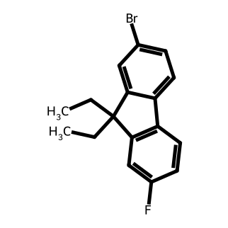 CCC1(CC)c2cc(F)ccc2-c2ccc(Br)cc21